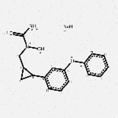 NC(=O)N(O)CC1CC1c1cccc(Oc2ccccc2)c1.[NaH]